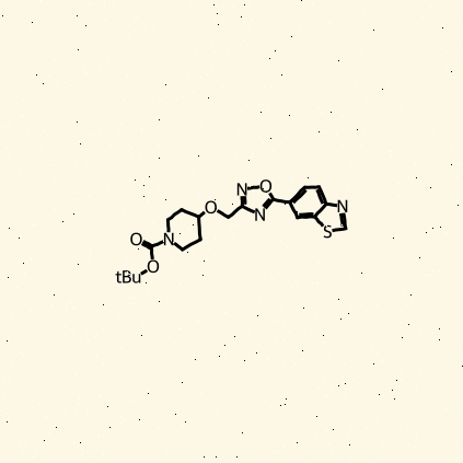 CC(C)(C)OC(=O)N1CCC(OCc2noc(-c3ccc4ncsc4c3)n2)CC1